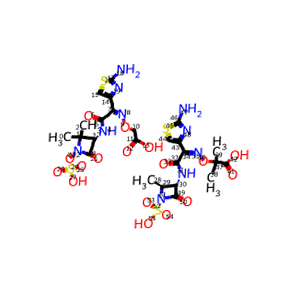 CC1(C)[C@H](NC(=O)/C(=N\OCC(=O)O)c2csc(N)n2)C(=O)N1OS(=O)(=O)O.C[C@H]1[C@H](NC(=O)/C(=N\OC(C)(C)C(=O)O)c2csc(N)n2)C(=O)N1S(=O)(=O)O